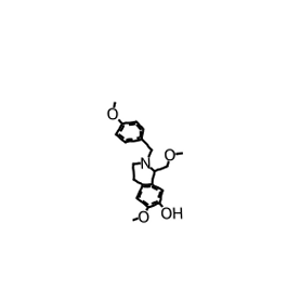 COCC1c2cc(O)c(OC)cc2CCN1Cc1ccc(OC)cc1